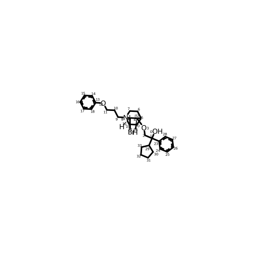 OC(CO[C@H]1C2CC[N+](CCCOc3ccccc3)(CC2)[C@@H]1Br)(c1ccccc1)C1CCCC1